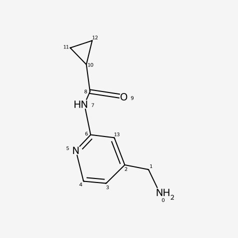 NCc1ccnc(NC(=O)C2CC2)c1